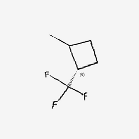 CC1CC[C@@H]1C(F)(F)F